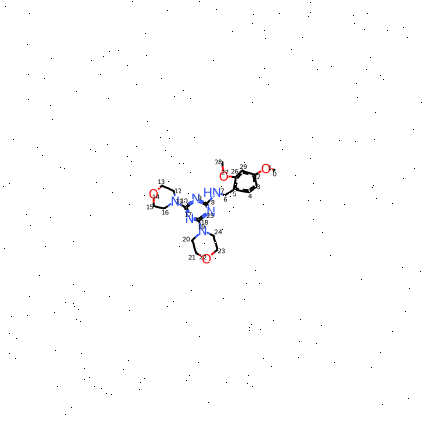 COc1ccc(CNc2nc(N3CCOCC3)nc(N3CCOCC3)n2)c(OC)c1